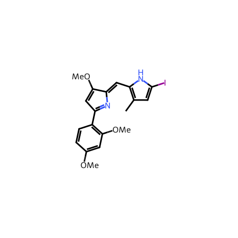 COC1=CC(c2ccc(OC)cc2OC)=N/C1=C\c1[nH]c(I)cc1C